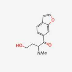 CNC(CCO)C(=O)c1ccc2ccoc2c1